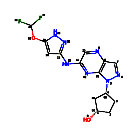 O[C@H]1CC[C@@H](n2ncc3ncc(Nc4cc(OC(F)F)[nH]n4)nc32)C1